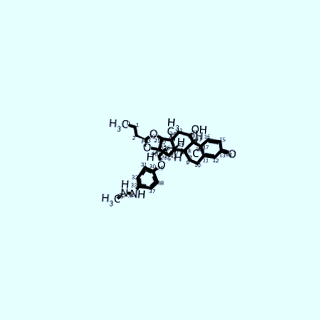 CCC[C@@H]1O[C@@H]2C[C@H]3[C@@H]4CCC5=CC(=O)C=C[C@]5(C)[C@H]4[C@@H](O)C[C@]3(C)[C@]2(C(=O)COc2ccc(NNC)cc2)O1